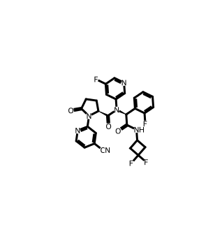 N#Cc1ccnc(N2C(=O)CC[C@H]2C(=O)N(c2cncc(F)c2)[C@H](C(=O)NC2CC(F)(F)C2)c2ccccc2F)c1